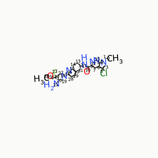 CCn1cc(Cl)c2cc(C(=O)NC3CCc4nc(N5CC(N)C(F)(COC)C5)ccc4C3)nnc21